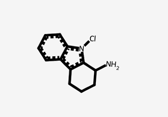 NC1CCCc2c1n(Cl)c1ccccc21